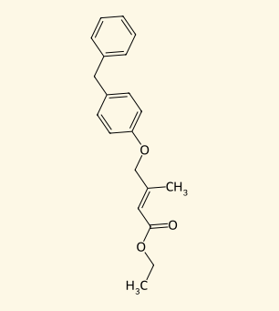 CCOC(=O)/C=C(\C)COc1ccc(Cc2ccccc2)cc1